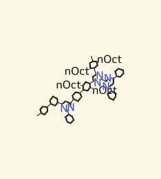 CCCCCCCCc1cc(-c2cc(-c3cc(CCCCCCCC)c(-c4ccc(-c5cc(-c6cccc(-c7ccc(C)cc7)c6)nc(-c6ccccc6)n5)cc4)cc3CCCCCCCC)nc(-c3nc(-c4ccccc4)cc(-c4ccccc4)n3)n2)c(CCCCCCCC)cc1C